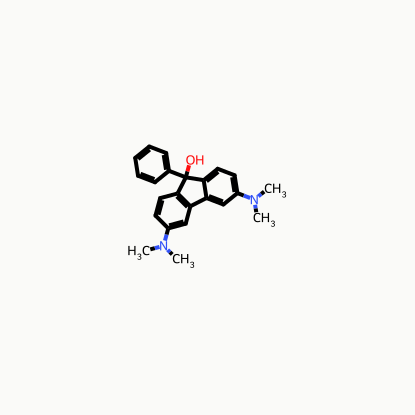 CN(C)c1ccc2c(c1)-c1cc(N(C)C)ccc1C2(O)c1ccccc1